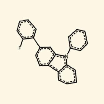 Fc1ccccc1-c1ccc2c3ccccc3n(-c3ccccc3)c2c1